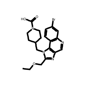 CCOCc1nc2cnc3cc(Br)ccc3c2n1CC1CCN(C(=O)O)CC1